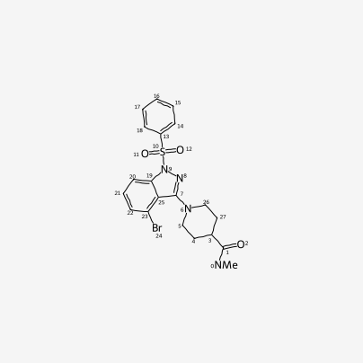 CNC(=O)C1CCN(c2nn(S(=O)(=O)c3ccccc3)c3cccc(Br)c23)CC1